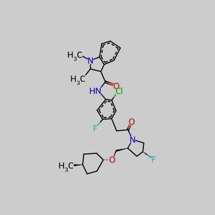 CC1C(C(=O)Nc2cc(F)c(CC(=O)N3C[C@@H](F)C[C@H]3CO[C@H]3CC[C@H](C)CC3)cc2Cl)c2ccccc2N1C